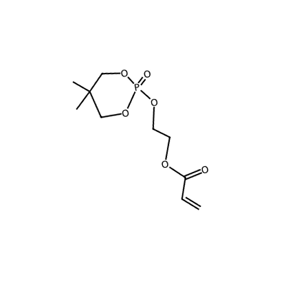 C=CC(=O)OCCOP1(=O)OCC(C)(C)CO1